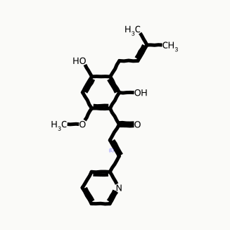 COc1cc(O)c(CC=C(C)C)c(O)c1C(=O)/C=C/c1ccccn1